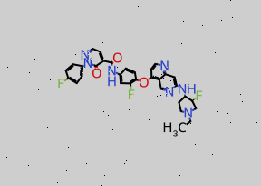 CCN1CC[C@H](Nc2cc3nccc(Oc4ccc(NC(=O)c5ccnn(-c6ccc(F)cc6)c5=O)cc4F)c3cn2)[C@@H](F)C1